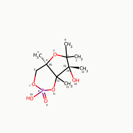 CC1(C)O[C@]2(C)COP(=O)(O)OC2(C)[C@@]1(C)O